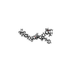 CC(C)n1cnc2cc(-c3ccc4c(c3)N(C3CC(N5CCCCC5)C3)C(=O)C43CCN(C(=O)C4(C5CCN(C(=O)C6CCN(c7ccc([C@H]8CCC(=O)NC8=O)cn7)CC6)CC5)CCC4)CC3)nc(NC3CC3)c21